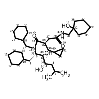 CC(C)C[C@H](O)[C@H](O)[C@H](CC1CCCCC1)N(CC1CCCCC1)C(=O)[C@@H](CC(=O)NCC1(O)CCCCC1)CC1CC1